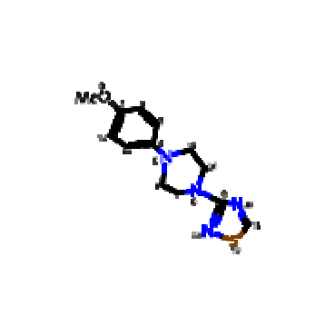 COc1ccc(N2CCN(c3ncsn3)CC2)cc1